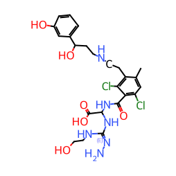 Cc1cc(Cl)c(C(=O)NC(N/C(=N/N)NCCO)C(=O)O)c(Cl)c1CCNCCC(O)c1cccc(O)c1